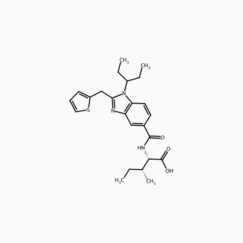 CCC(CC)n1c(Cc2cccs2)nc2cc(C(=O)N[C@H](C(=O)O)[C@H](C)CC)ccc21